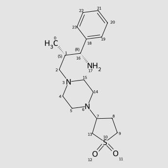 C[C@@H](CN1CCN(C2CCS(=O)(=O)C2)CC1)[C@@H](N)c1ccccc1